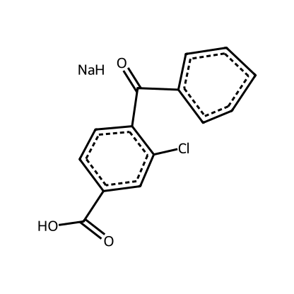 O=C(O)c1ccc(C(=O)c2ccccc2)c(Cl)c1.[NaH]